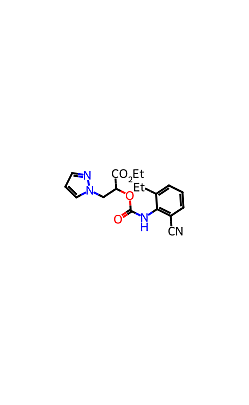 CCOC(=O)C(Cn1cccn1)OC(=O)Nc1c(C#N)cccc1CC